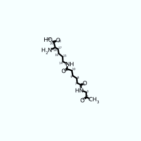 CC(=O)CNC(=O)CCCCC(=O)NCCCCC(N)C(=O)O